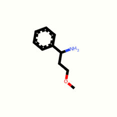 COCCC(N)c1ccccc1